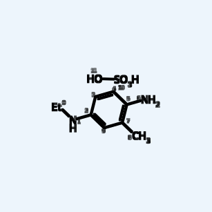 CCNc1ccc(N)c(C)c1.O=S(=O)(O)O